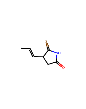 CC=CC1CC(=O)NC1=S